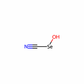 N#C[Se]O